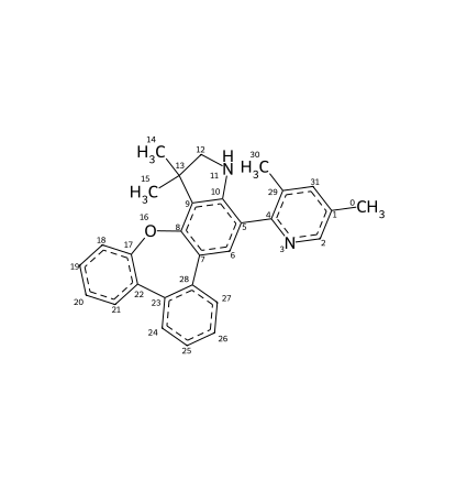 Cc1cnc(-c2cc3c(c4c2NCC4(C)C)Oc2ccccc2-c2ccccc2-3)c(C)c1